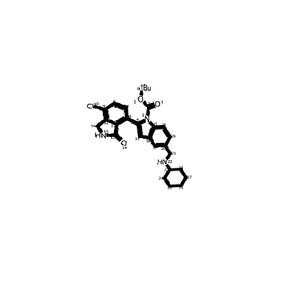 CC(C)(C)OC(=O)n1c(-c2ccc(Cl)c3c2C(=O)NC3)cc2cc(CNC3CCCCC3)ccc21